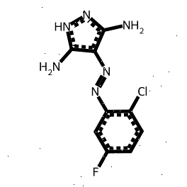 Nc1n[nH]c(N)c1N=Nc1cc(F)ccc1Cl